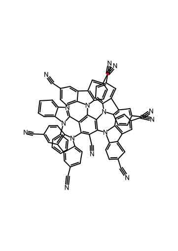 N#Cc1ccc2c(c1)c1cc(C#N)ccc1n2-c1c(C#N)c(-n2c3ccc(C#N)cc3c3cc(C#N)ccc32)c(-n2c3ccc(C#N)cc3c3cc(C#N)ccc32)c(-n2c3ccc(C#N)cc3c3cc(C#N)ccc32)c1-c1nc2ccccc2n1-c1ccccc1